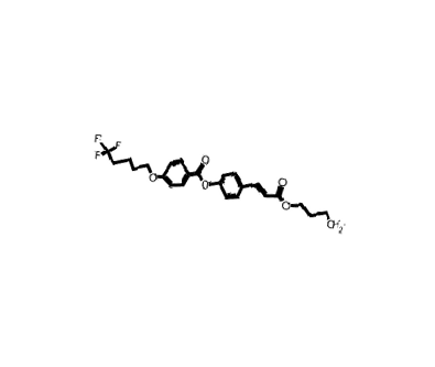 [CH2]CCCOC(=O)/C=C/c1ccc(OC(=O)c2ccc(OCCCCC(F)(F)F)cc2)cc1